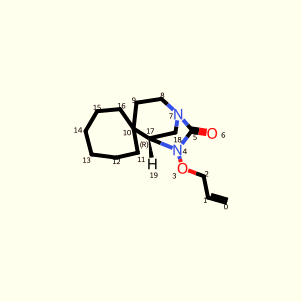 C=CCON1C(=O)N2CCC3(CCCCCC3)[C@@H]1C2